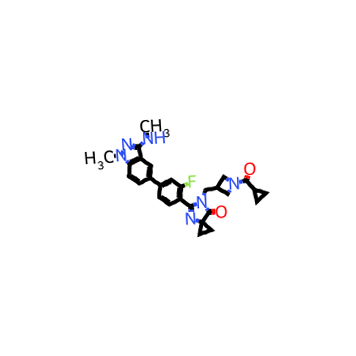 CNc1nn(C)c2ccc(-c3ccc(C4=NC5(CC5)C(=O)N4CC4CN(C(=O)C5CC5)C4)c(F)c3)cc12